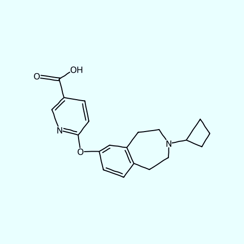 O=C(O)c1ccc(Oc2ccc3c(c2)CCN(C2CCC2)CC3)nc1